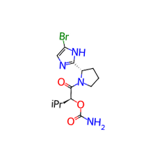 CC(C)[C@H](OC(N)=O)C(=O)N1CCC[C@H]1c1ncc(Br)[nH]1